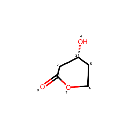 O=C1C[C@H](O)CCO1